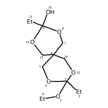 CCOC1(CC)OCC2(COC(O)(CC)OC2)CO1